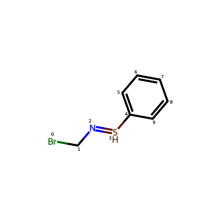 BrCN=[SH]c1ccccc1